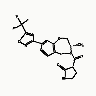 C[C@H]1COc2cc(-c3noc(C(F)(F)F)n3)ccc2CN1C(=O)[C@H]1CCNC1=O